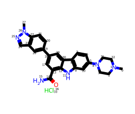 CN1CCN(c2ccc3c(c2)[nH]c2c(C(N)=O)cc(-c4ccc5c(cnn5C)c4)cc23)CC1.Cl